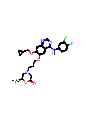 CC1CN(CCCOc2cc3c(Nc4ccc(F)c(Cl)c4)ncnc3cc2OCC2CC2)CC(=O)O1